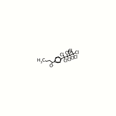 CCCC([O])c1ccc(C(Cl)(Cl)C(Cl)(Cl)C(Cl)(Cl)C(Cl)(Cl)Cl)cc1